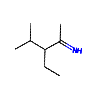 CCC(C(C)=N)C(C)C